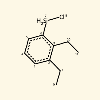 CCc1cccc([SiH2]Cl)c1CC